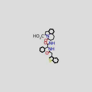 O=C(Cc1csc2ccccc12)N[C@H](C(=O)N[C@H]1CCc2cccc3c2N(C1=O)[C@H](C(=O)O)C3)c1ccccc1